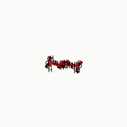 CC(C)(C)OC(=O)/N=C(\NCc1cc([C@@H]2CC[C@@H]3CN2C(=O)N3OS(=O)(=O)ON2C(=O)N3C[C@H]2CC[C@H]3c2cc(CN/C(=N\C(=O)OC(C)(C)C)NC(=O)OC(C)(C)C)on2)no1)NC(=O)OC(C)(C)C